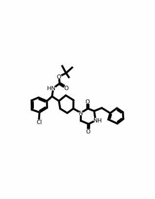 CC(C)(C)OC(=O)NC(c1cccc(Cl)c1)C1CCC(N2CC(=O)NC(Cc3ccccc3)C2=O)CC1